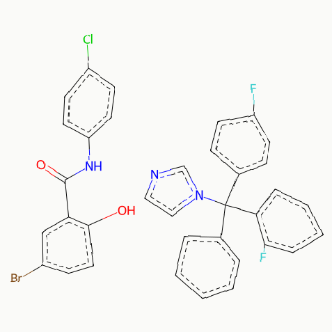 Fc1ccc(C(c2ccccc2)(c2ccccc2F)n2ccnc2)cc1.O=C(Nc1ccc(Cl)cc1)c1cc(Br)ccc1O